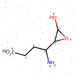 NC(CCC(=O)O)C1OC1O